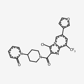 O=C(c1nc2c(C(F)(F)F)cc(-c3ccoc3)cn2c1Cl)N1CCC(n2ccccc2=O)CC1